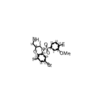 COc1cc(S(=O)(=O)N2CC(CN)Oc3c(F)cc(Br)cc32)ccc1F